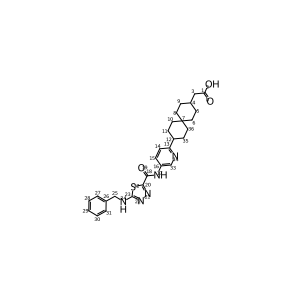 O=C(O)CC1CCC2(CC1)CCC(c1ccc(NC(=O)c3nnc(NCc4ccccc4)s3)cn1)CC2